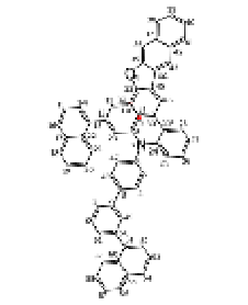 c1cc(-c2ccc(N(c3cccc(-c4cccc5ccccc45)c3)c3ccccc3-c3ccc4oc5cc6ccccc6cc5c4c3)cc2)cc(-c2cccc3ccccc23)c1